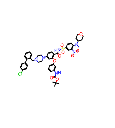 CN(c1ccc(S(=O)(=O)NC(=O)c2ccc(N3CCN(Cc4ccccc4-c4ccc(Cl)cc4)CC3)cc2Oc2cccc(NC(=O)OC(C)(C)C)c2)cc1[N+](=O)[O-])C1CCOCC1